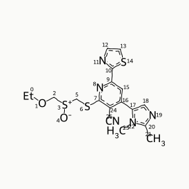 CCOC[S+]([O-])CSc1nc(-c2nccs2)cc(-c2cnc(C)n2C)c1C#N